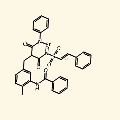 CCN(C(=O)C(Cc1ccc(C)c(NC(=O)c2ccccc2)c1)C(=O)NS(=O)(=O)/C=C/c1ccccc1)c1ccccc1